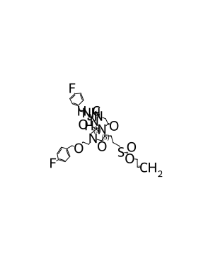 C=CCOC(=O)SCCC[C@H]1C(=O)N(CCOCc2ccc(F)cc2)C[C@H]2N1C(=O)CN(C)N2C(=O)NCc1ccc(F)cc1